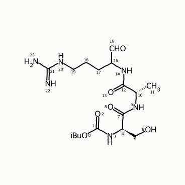 CC(C)COC(=O)N[C@H](CO)C(=O)N[C@@H](C)C(=O)NC(C=O)CCCNC(=N)N